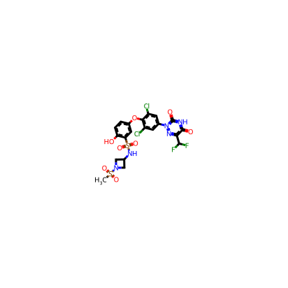 CS(=O)(=O)N1CC(NS(=O)(=O)c2cc(Oc3c(Cl)cc(-n4nc(C(F)F)c(=O)[nH]c4=O)cc3Cl)ccc2O)C1